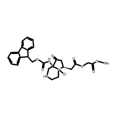 CC(C)(C)OC(=O)COC(=O)C[C@@H]1CC(=O)[C@@]2(NC(=O)OCC3c4ccccc4-c4ccccc43)CNCC[N+]12[O-]